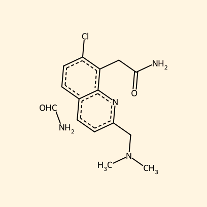 CN(C)Cc1ccc2ccc(Cl)c(CC(N)=O)c2n1.NC=O